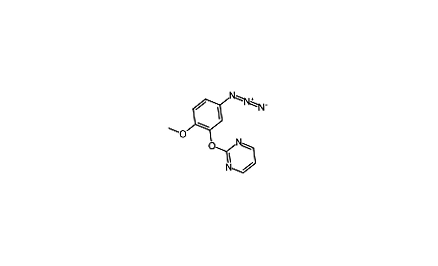 COc1ccc(N=[N+]=[N-])cc1Oc1ncccn1